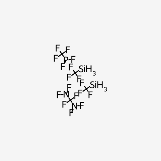 FC(F)(F)[SiH3].FC(F)(F)[SiH3].FN(F)C(F)(F)N(F)F.FP(F)C(F)(F)F